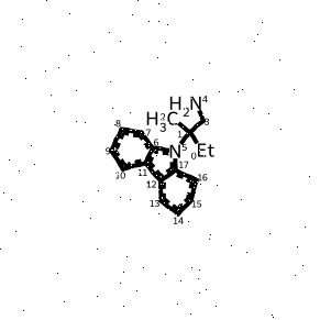 CCC(C)(CN)n1c2ccccc2c2ccccc21